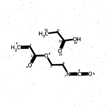 C=CC(=O)OCCN=C=O.CCC(=O)O